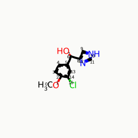 COc1ccc(C(O)c2c[nH]cn2)cc1Cl